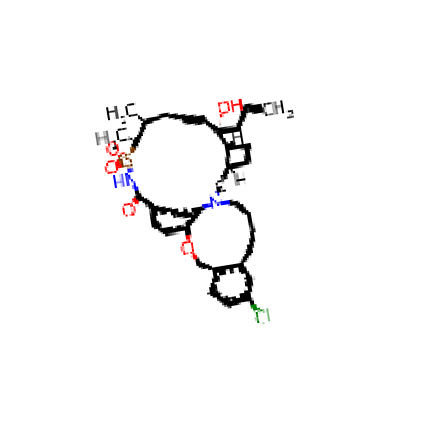 C=CC[C@]1(O)/C=C/C[C@H](C)[C@@H](C)S(=O)(=O)NC(=O)c2ccc3c(c2)N(CCCCc2cc(Cl)ccc2CO3)C[C@@H]2CC[C@H]21